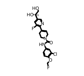 O=C(Nc1ccc(OCF)c(Cl)c1)N1CC=C(c2ncc([C@H](O)CO)cc2F)CC1